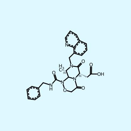 C[C@H]1C2N(C(=O)NCc3ccccc3)OCC(=O)N2[C@@H](CC(=O)O)C(=O)N1Cc1cccc2cccnc12